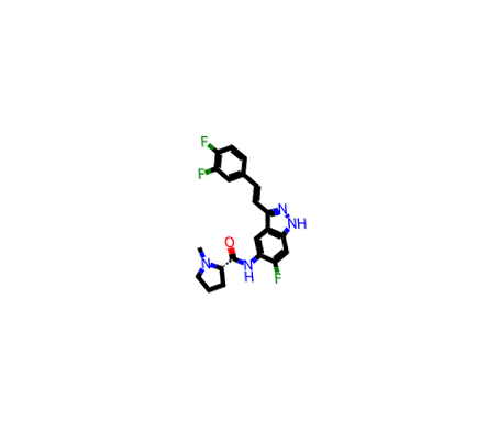 CN1CCC[C@H]1C(=O)Nc1cc2c(/C=C/c3ccc(F)c(F)c3)n[nH]c2cc1F